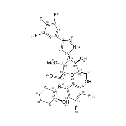 CO[C@@H]1[C@@H](n2cc(-c3cc(F)c(F)c(F)c3)nn2)[C@@H](O)[C@@H](CO)O[C@H]1C(=O)N(c1ccc(F)c(F)c1)[C@H]1CCCC[C@@H]1O